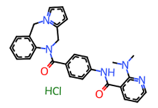 CN(C)c1ncccc1C(=O)Nc1ccc(C(=O)N2Cc3cccn3Cc3ccccc32)cc1.Cl